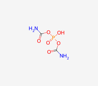 NC(=O)OP(=O)(O)OC(N)=O